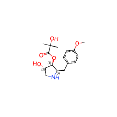 COc1ccc(C[C@H]2NC[C@H](O)[C@H]2OC(=O)C(C)(C)O)cc1